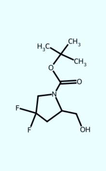 CC(C)(C)OC(=O)N1CC(F)(F)CC1CO